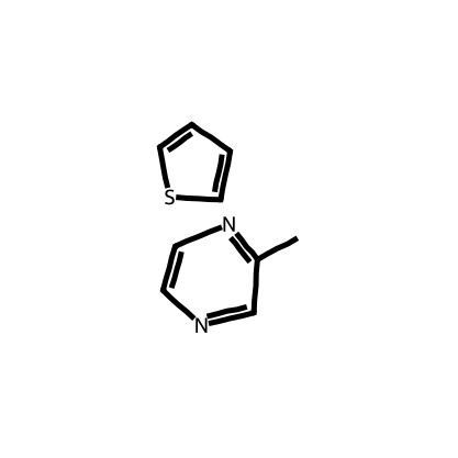 Cc1cnccn1.c1ccsc1